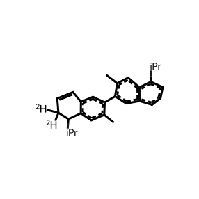 [2H]C1([2H])C=Cc2cc(-c3cc4cccc(C(C)C)c4cc3C)c(C)cc2C1C(C)C